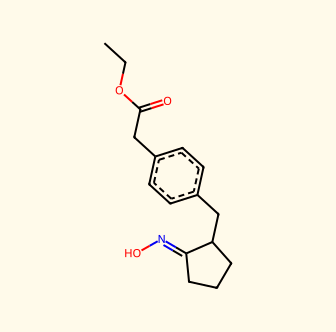 CCOC(=O)Cc1ccc(CC2CCCC2=NO)cc1